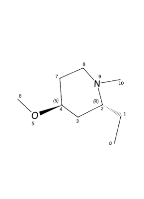 CC[C@@H]1C[C@@H](OC)CCN1C